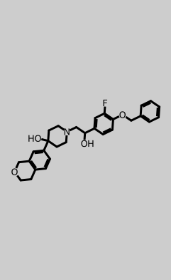 OC(CN1CCC(O)(c2ccc3c(c2)COCC3)CC1)c1ccc(OCc2ccccc2)c(F)c1